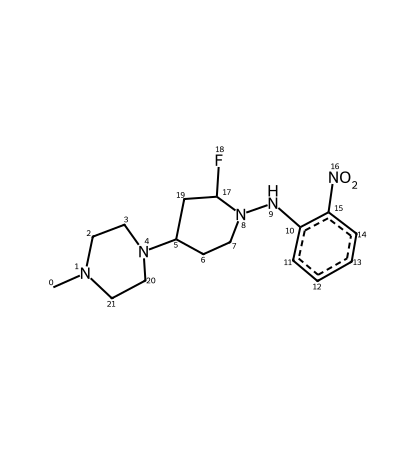 CN1CCN(C2CCN(Nc3ccccc3[N+](=O)[O-])C(F)C2)CC1